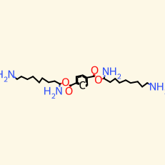 NCCCCCCCCC(N)OC(=O)c1ccc(C(=O)OC(N)CCCCCCCCN)cc1